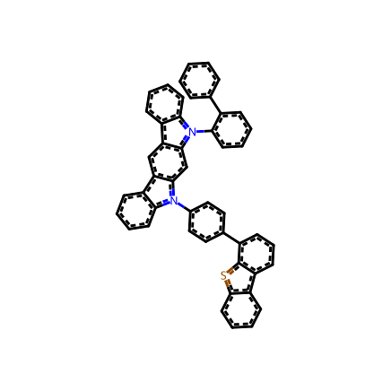 c1ccc(-c2ccccc2-n2c3ccccc3c3cc4c5ccccc5n(-c5ccc(-c6cccc7c6sc6ccccc67)cc5)c4cc32)cc1